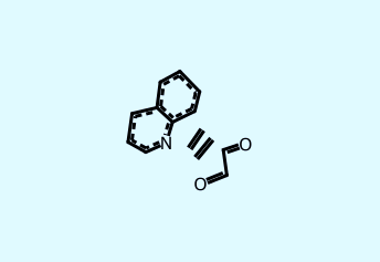 C=C.C=C.O=CC=O.c1ccc2ncccc2c1